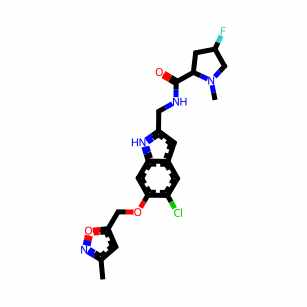 Cc1cc(COc2cc3[nH]c(CNC(=O)C4CC(F)CN4C)cc3cc2Cl)on1